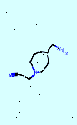 N#CCN1CCC(CN)CC1